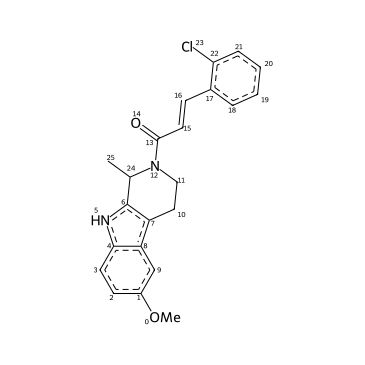 COc1ccc2[nH]c3c(c2c1)CCN(C(=O)/C=C/c1ccccc1Cl)C3C